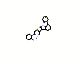 Cc1ccccc1-c1cc2sc3c(c2c[n+]1C)c1cccc2c4ccccc4n3c21